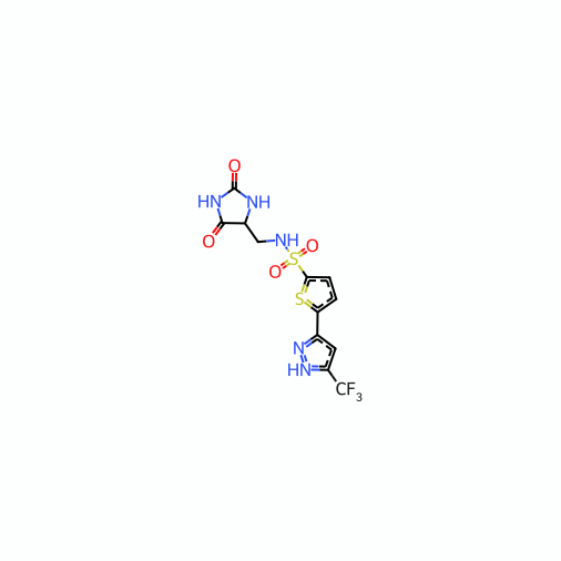 O=C1NC(=O)C(CNS(=O)(=O)c2ccc(-c3cc(C(F)(F)F)[nH]n3)s2)N1